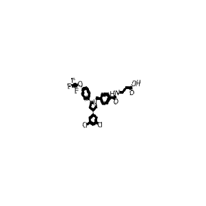 O=C(O)CCNC(=O)c1ccc(CN2C[C@H](c3cc(Cl)cc(Cl)c3)C[C@@H]2c2ccc(OC(F)(F)F)cc2)cc1